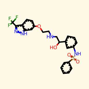 O=S(=O)(Nc1cccc(C(O)CNCCOc2ccc3c(C(F)(F)F)n[nH]c3c2)c1)c1ccccc1